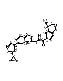 C[C@@]1(C#N)COCc2ccc(C(=O)NCc3ncc4ccc(-c5cncc(C6CC6)n5)cc4n3)cc21